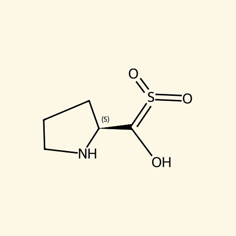 O=S(=O)=C(O)[C@@H]1CCCN1